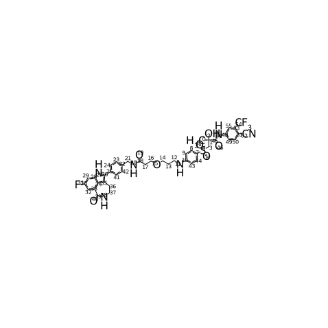 C[C@](O)(CS(=O)(=O)c1ccc(NCCCOCCC(=O)NCc2ccc(-c3[nH]c4cc(F)cc5c4c3CCNC5=O)cc2)cc1)C(=O)Nc1ccc(C#N)c(C(F)(F)F)c1